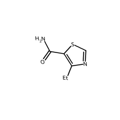 CCc1ncsc1C(N)=O